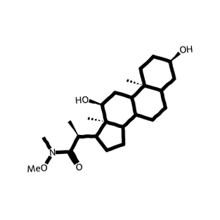 CON(C)C(=O)[C@@H](C)C1CCC2C3CCC4C[C@H](O)CC[C@]4(C)C3C[C@H](O)[C@@]21C